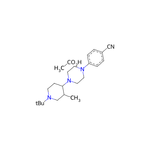 CC(=O)O.CC1CN(C(C)(C)C)CCC1N1CCN(c2ccc(C#N)cc2)CC1